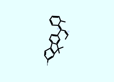 C/C=C\C(=C1\C=CC=CC1C)c1ccc2c(c1)C(C)(C)c1cc(I)ccc1-2